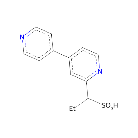 CCC(c1cc(-c2ccncc2)ccn1)S(=O)(=O)O